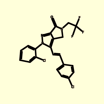 O=C1c2nn(-c3ccccc3Cl)c(C=Cc3ccc(Cl)cc3)c2CN1CC(F)(F)F